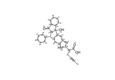 CC#CCN(C(=O)O)c1nc2cc(C3(O)c4ccccc4C(=O)N3Cc3ccccc3)ccc2[nH]1